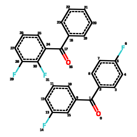 O=C(c1ccc(F)cc1)c1cccc(F)c1.O=C(c1ccccc1)c1cccc(F)c1F